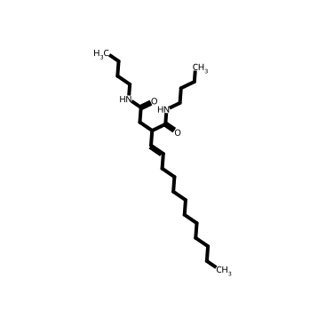 CCCCCCCCCCC=CC(CC(=O)NCCCC)C(=O)NCCCC